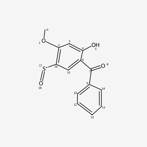 COc1cc(O)c(C(=O)c2ccccc2)cc1[S+]=O